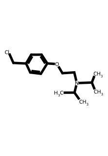 CC(C)N(CCOc1ccc(CCl)cc1)C(C)C